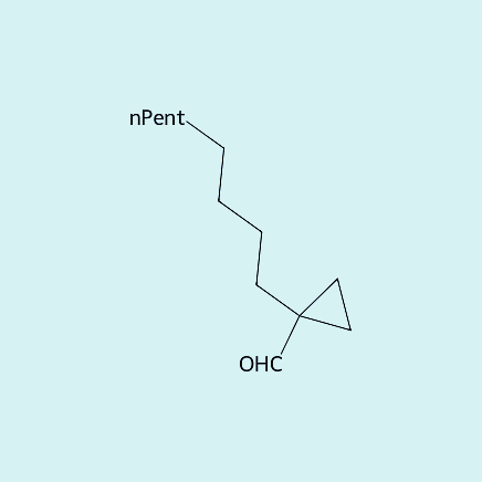 CCCCCCCCCC1(C=O)CC1